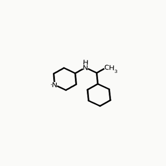 CC(NC1CC[N]CC1)C1CCCCC1